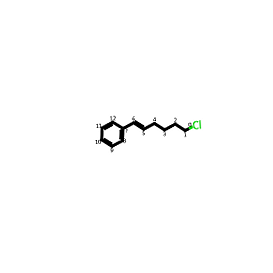 ClCCCCC=Cc1ccccc1